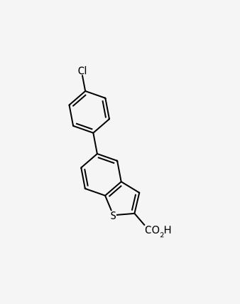 O=C(O)c1cc2cc(-c3ccc(Cl)cc3)ccc2s1